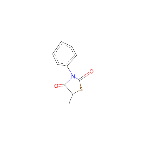 CC1SC(=O)N(c2ccccc2)C1=O